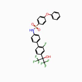 O=S(=O)(Nc1ccc(-c2ccc(C(O)(C(F)(F)F)C(F)(F)F)cc2F)cc1)c1ccc(Oc2ccccc2)cc1